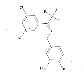 Cc1cc(C/C=C(\c2cc(Cl)cc(Cl)c2)C(F)(F)F)ccc1Br